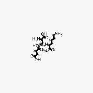 NCC(N)C(=O)O.NCCCC[C@H](N)C(=O)O.O=C(O)CCC(=O)O